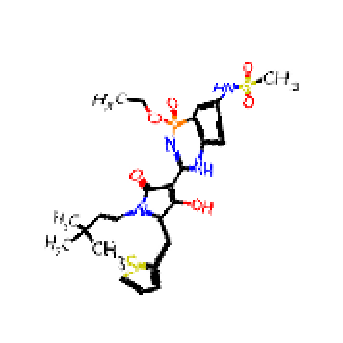 CCOP1(=O)N=C(C2=C(O)C(Cc3cccs3)N(CCC(C)(C)C)C2=O)Nc2ccc(NS(C)(=O)=O)cc21